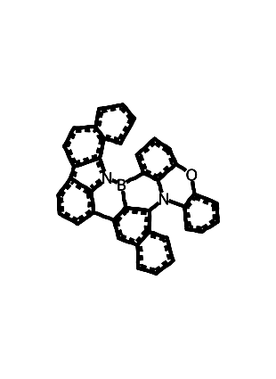 c1ccc2c(c1)Oc1cccc3c1N2c1c2c(cc4ccccc14)-c1cccc4c5ccc6ccccc6c5n(c14)B32